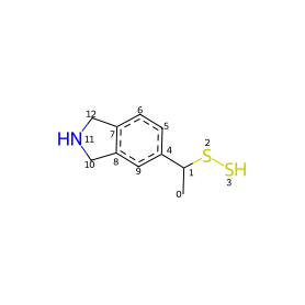 CC(SS)c1ccc2c(c1)CNC2